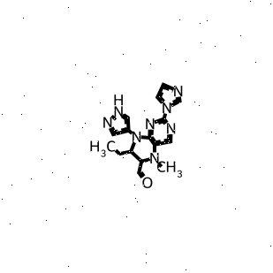 CCC1C(C=O)N(C)c2cnc(-n3ccnc3)nc2N1c1cn[nH]c1